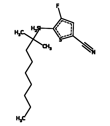 CCCCCCCC(C)(C)[SiH2]c1sc(C#N)cc1F